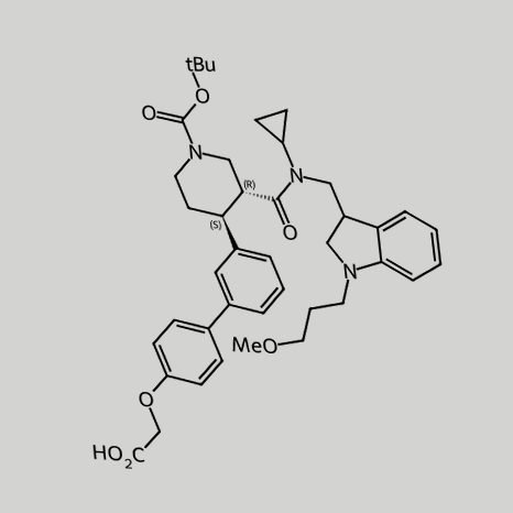 COCCCN1CC(CN(C(=O)[C@H]2CN(C(=O)OC(C)(C)C)CC[C@@H]2c2cccc(-c3ccc(OCC(=O)O)cc3)c2)C2CC2)c2ccccc21